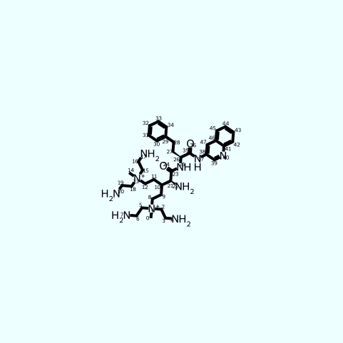 C[N+](CCN)(CCN)CCC(CC[N+](C)(CCN)CCN)[C@H](N)C(=O)N[C@@H](CCc1ccccc1)C(=O)Nc1cnc2ccccc2c1